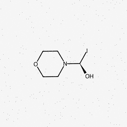 O[C@H](I)N1CCOCC1